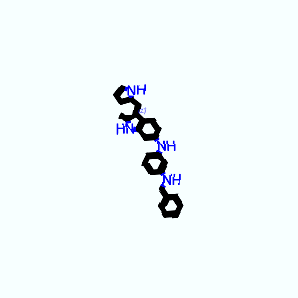 C=c1[nH]c2cc(Nc3cccc(NCc4ccccc4)c3)ccc2/c1=C/c1ccc[nH]1